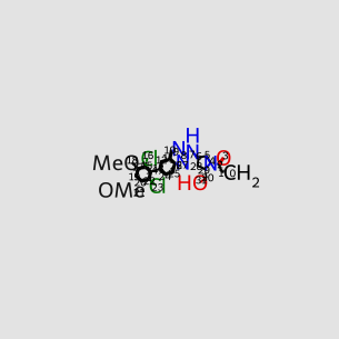 C=CC(=O)N1C[C@H](Nc2ncc3cc(-c4c(Cl)c(OC)cc(OC)c4Cl)ccc3n2)C[C@@H]1CO